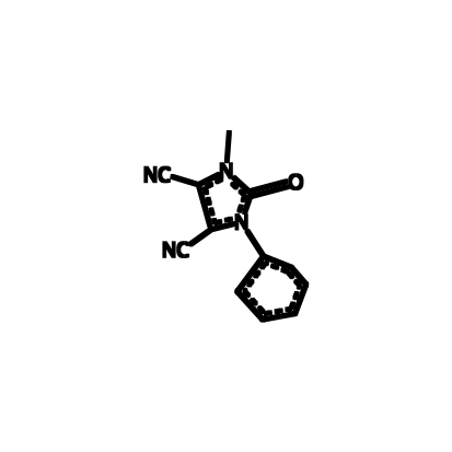 Cn1c(C#N)c(C#N)n(-c2ccccc2)c1=O